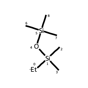 C[CH][Si](C)(C)O[Si](C)(C)C